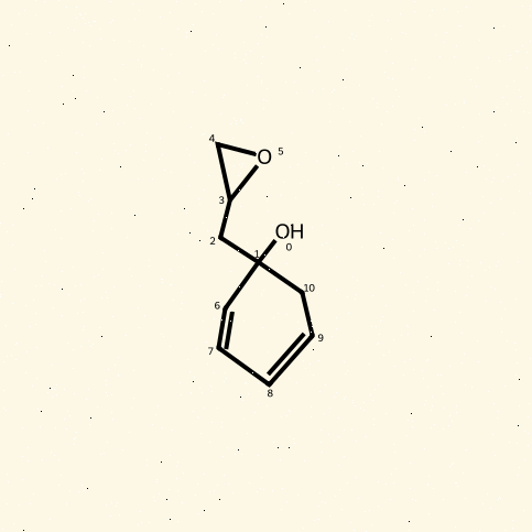 OC1(CC2CO2)C=CC=CC1